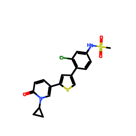 CS(=O)(=O)Nc1ccc(-c2csc(-c3ccc(=O)n(C4CC4)c3)c2)c(Cl)c1